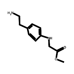 COC(=O)CNc1ccc(CCN)cc1